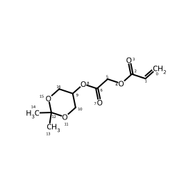 C=CC(=O)OCC(=O)OC1COC(C)(C)OC1